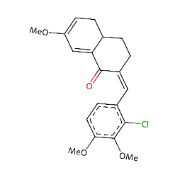 COC1=CCC2CCC(=Cc3ccc(OC)c(OC)c3Cl)C(=O)C2=C1